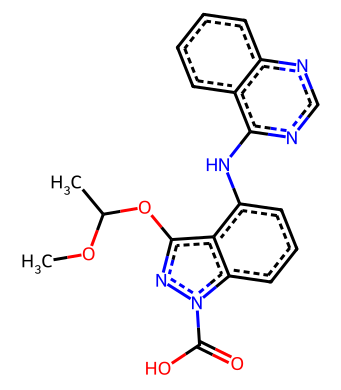 COC(C)Oc1nn(C(=O)O)c2cccc(Nc3ncnc4ccccc34)c12